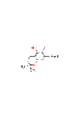 CCCCCc1cc2c(c(O)c1I)CC(I)C(C)(C)O2